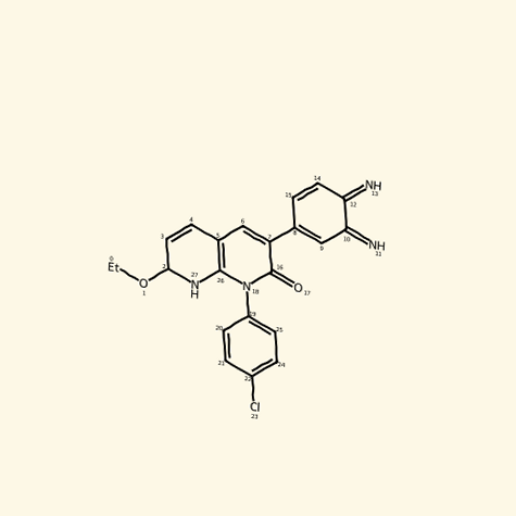 CCOC1C=Cc2cc(C3=CC(=N)C(=N)C=C3)c(=O)n(-c3ccc(Cl)cc3)c2N1